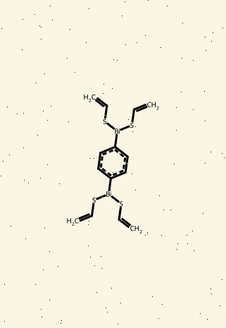 C=C[S][Bi]([S]C=C)[c]1cc[c]([Bi]([S]C=C)[S]C=C)cc1